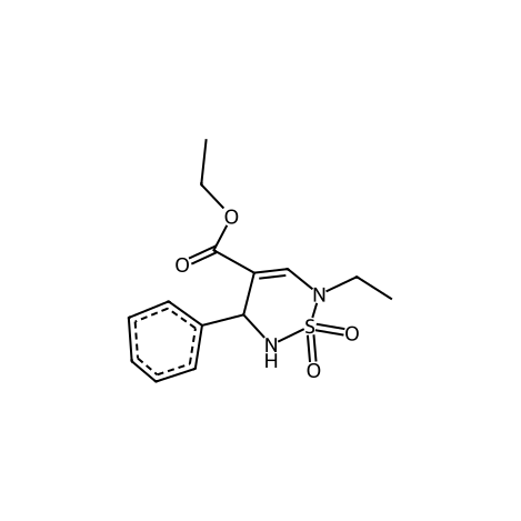 CCOC(=O)C1=CN(CC)S(=O)(=O)NC1c1ccccc1